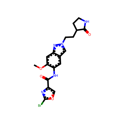 COc1cc2nn(CCC3CCNC3=O)cc2cc1NC(=O)c1coc(Br)n1